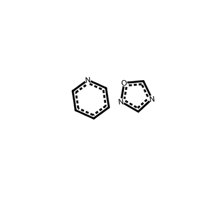 c1ccncc1.c1ncon1